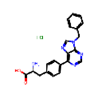 Cl.N[C@H](Cc1ccc(-c2ncnc3c2ncn3Cc2ccccc2)cc1)C(=O)O